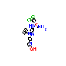 NC(=O)CC(NCc1ccc(Cl)c(Cl)c1)c1ccc2c(c1)nc(-c1ccc(-c3cccc(CO)n3)cc1)n2CC12CC3CC(CC(C3)C1)C2